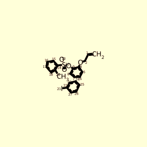 C=CCOc1ccccc1OS(=O)(=O)c1ccccc1C.Ic1ccccc1